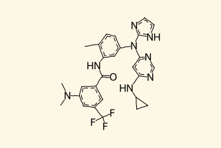 Cc1ccc(N(c2cc(NC3CC3)ncn2)c2ncc[nH]2)cc1NC(=O)c1cc(N(C)C)cc(C(F)(F)F)c1